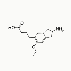 CCOc1cc2c(cc1CCCC(=O)O)CC(N)C2